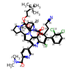 CN(C)C(=O)c1ccc(-c2nc3c(F)c(-c4cccc(Cl)c4Cl)c(CCC#N)cc3c3c2cc(C2CCCN2C(=O)OCC[Si](C)(C)C)n3[C@H]2[C@@H]3C[C@H]2N(C(=O)O)C3)cn1